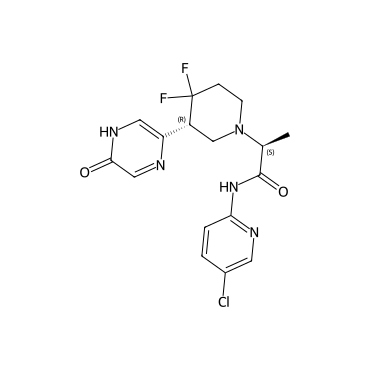 C[C@@H](C(=O)Nc1ccc(Cl)cn1)N1CCC(F)(F)[C@@H](c2c[nH]c(=O)cn2)C1